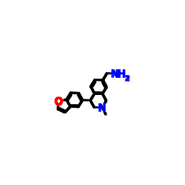 CN1Cc2cc(CN)ccc2C(c2ccc3occc3c2)C1